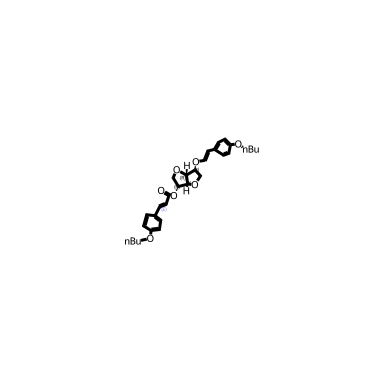 CCCCOc1ccc(C=CO[C@@H]2CO[C@H]3[C@@H]2OC[C@H]3OC(=O)/C=C/c2ccc(OCCCC)cc2)cc1